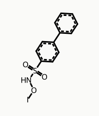 O=S(=O)(NOI)c1ccc(-c2ccccc2)cc1